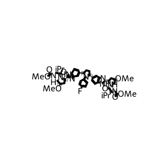 COC(=O)NC(C(=O)N1C[C@@H](OC)C[C@H]1c1nc2cc([C@H]3CC[C@H](c4ccc5[nH]c([C@@H]6C[C@H](OC)CN6C(=O)[C@@H](NC(=O)OC)C(C)C)nc5c4)N3c3ccc(F)cc3)ccc2[nH]1)C(C)C